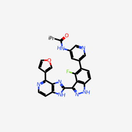 CC(C)C(=O)Nc1cncc(-c2ccc3[nH]nc(-c4nc5c(-c6ccoc6)nccc5[nH]4)c3c2F)c1